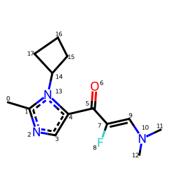 Cc1ncc(C(=O)C(F)=CN(C)C)n1C1CCC1